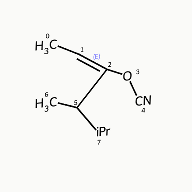 C/C=C(/OC#N)C(C)C(C)C